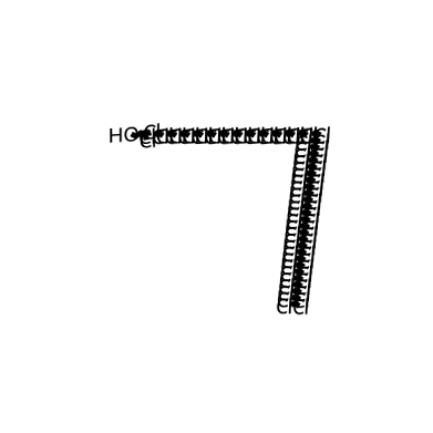 ClCCl.ClCCl.ClCCl.ClCCl.ClCCl.ClCCl.ClCCl.ClCCl.ClCCl.ClCCl.ClCCl.ClCCl.ClCCl.ClCCl.ClCCl.ClCCl.ClCCl.ClCCl.ClCCl.ClCCl.ClCCl.ClCCl.ClCCl.ClCCl.ClCCl.ClCCl.ClCCl.ClCCl.ClCCl.ClCCl.ClCCl.ClCCl.ClCCl.ClCCl.ClCCl.ClCCl.ClCCl.ClCCl.ClCCl.OCCC(Cl)Cl